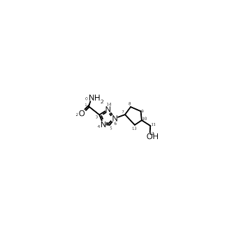 NC(=O)c1ncn(C2CCC(CO)C2)n1